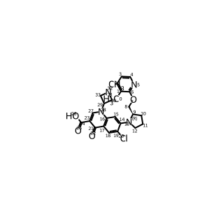 Cc1cccnc1OC[C@H]1CCCN1c1cc2c(cc1Cl)c(=O)c(C(=O)O)cn2C1CN(C)C1